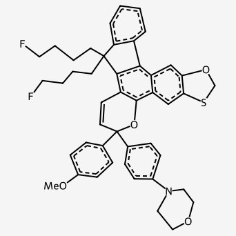 COc1ccc(C2(c3ccc(N4CCOCC4)cc3)C=Cc3c4c(c5cc6c(cc5c3O2)SCO6)-c2ccccc2C4(CCCCF)CCCCF)cc1